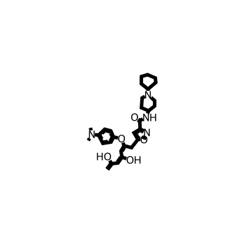 C=C(O)/C=C(O)\C=C(/Cc1cc(C(=O)NC2CCN(C3CCCCC3)CC2)no1)Oc1ccc(N(C)C)cc1